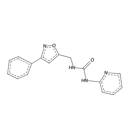 O=C(NCc1cc(-c2ccccc2)no1)Nc1ccccn1